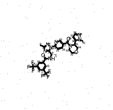 Cc1nc([C@H](C)NC(=O)c2cc(C(F)(F)F)cc(C(F)(F)F)c2)n(-c2ccc(C(=O)N3CCOCC3c3ccnn3C)cn2)n1